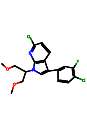 COCC(COC)n1cc(-c2ccc(Cl)c(F)c2)c2ccc(Cl)nc21